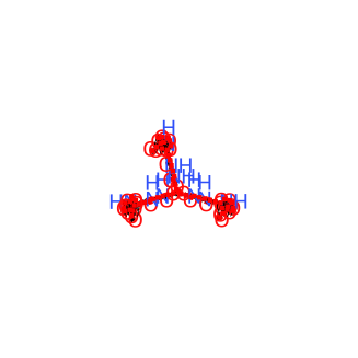 CC(=O)N[C@H]1[C@H](OCCCCC(=O)NCCCNC(=O)CCOCC(C)(COCCC(=O)NCCCNC(=O)CCCCO[C@@H]2O[C@H](COC(C)=O)[C@H](OC(C)=O)[C@H](OC(C)=O)[C@H]2NC(C)=O)COCCC(=O)NCCCNC(=O)CCCCO[C@@H]2O[C@H](COC(C)=O)[C@H](OC(C)=O)[C@H](OC(C)=O)[C@H]2NC(C)=O)O[C@H](COC(C)=O)[C@H](OC(C)=O)[C@@H]1OC(C)=O